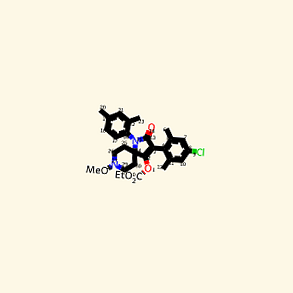 CCOC(=O)OC1=C(c2c(C)cc(Cl)cc2C)C(=O)N(c2ccc(C)cc2C)C12CCN(OC)CC2